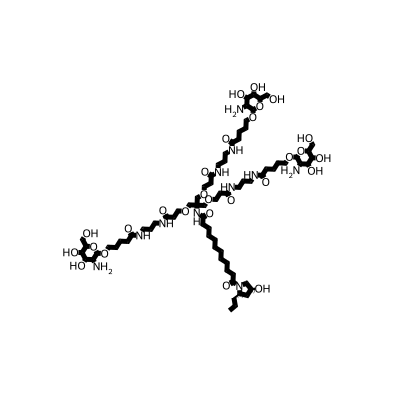 CCC[C@@H]1C[C@H](O)CN1C(=O)CCCCCCCCCCC(=O)NC(COCCC(=O)NCCCNC(=O)CCCCOC1OC(CO)C(O)C(O)C1N)(COCCC(=O)NCCCNC(=O)CCCCOC1OC(CO)C(O)C(O)C1N)COCCC(=O)NCCCNC(=O)CCCCOC1OC(CO)C(O)C(O)C1N